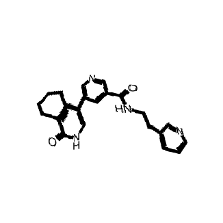 O=C(NCCc1cccnc1)c1cncc(-c2c[nH]c(=O)c3c2CCCC3)c1